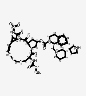 C1CCNC1.CC(C)(C)OC(=O)NC1CCCCCC=CC2CC2(C(=O)N=S(=O)=O)NC(=O)C2CC(OC(=O)N3CCc4ccccc4[C@H]3CN3CCCCC3)CN2C1=O